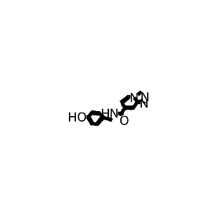 O=C(NCc1ccc(O)cc1)c1ccn2cnnc2c1